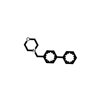 c1ccc(-c2ccc(CN3CCOCC3)cc2)cc1